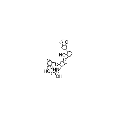 Cc1cc(CN[C@](C)(CO)C(=O)O)c(OCc2cncc(C#N)c2)cc1OCc1cccc(-c2ccc3c(c2)OCCO3)c1C#N